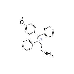 COc1ccc(/C(=C(/CCN)c2ccccc2)c2ccccc2)cc1